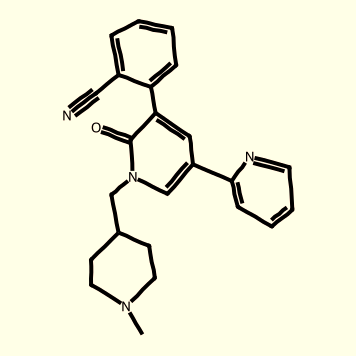 CN1CCC(Cn2cc(-c3ccccn3)cc(-c3ccccc3C#N)c2=O)CC1